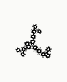 c1ccc(-n2c3ccccc3c3cc(-c4ccc(N(c5ccc(-c6ccc(-c7ccc8c9ccccc9n(-c9ccccc9)c8c7)cc6)cc5)c5ccc(-c6ccc(-c7ccc8c9ccccc9n(-c9ccccc9)c8c7)cc6)cc5)c5ccccc45)ccc32)cc1